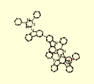 c1ccc(-c2nc(-c3ccccc3-n3c4ccccc4c4cc(-c5ccc6c(c5)c5ccccc5n6-c5nc(-c6ccccc6)nc(-c6ccccc6)n5)ccc43)cc(-c3ccccc3-n3c4ccccc4c4c5c6ccccc6n(-c6ccccc6)c5ccc43)n2)cc1